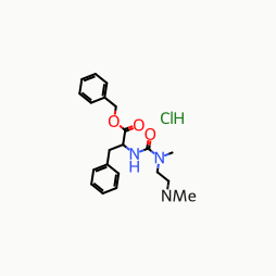 CNCCN(C)C(=O)NC(Cc1ccccc1)C(=O)OCc1ccccc1.Cl